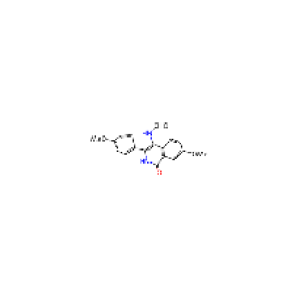 COc1ccc(-c2[nH]c(=O)c3cc(OC)ccc3c2NC=O)cc1